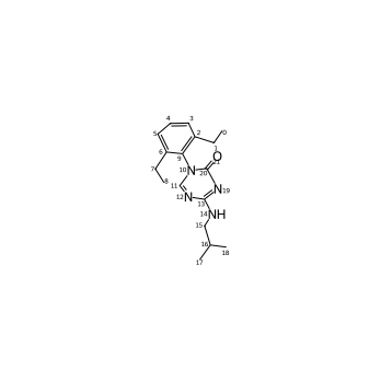 CCc1cccc(CC)c1-n1cnc(NCC(C)C)nc1=O